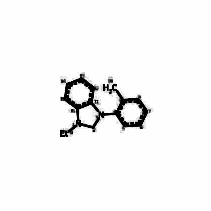 CCN1CN(c2ccccc2C)c2ccccc21